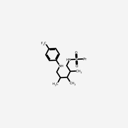 CC(CNc1ccc(C(F)(F)F)cc1)C(C)C(C)CNS(=O)(=O)C(C)C